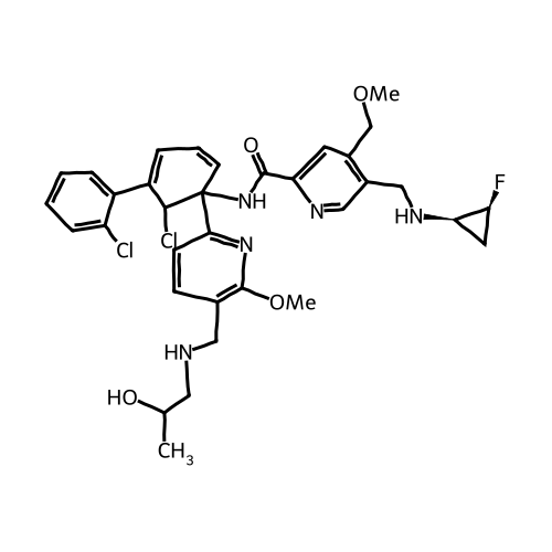 COCc1cc(C(=O)NC2(c3ccc(CNCC(C)O)c(OC)n3)C=CC=C(c3ccccc3Cl)C2Cl)ncc1CN[C@@H]1C[C@@H]1F